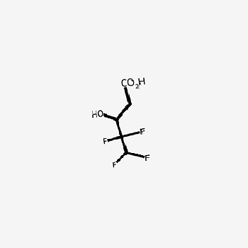 O=C(O)CC(O)C(F)(F)C(F)F